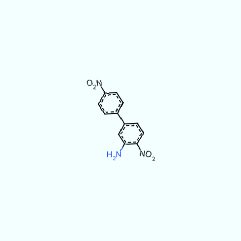 Nc1cc(-c2ccc([N+](=O)[O-])cc2)ccc1[N+](=O)[O-]